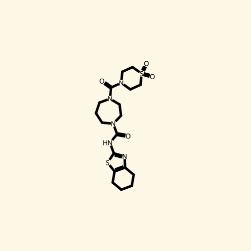 O=C(Nc1nc2c(s1)CCCC2)N1CCCN(C(=O)N2CCS(=O)(=O)CC2)CC1